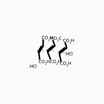 Cl.Cl.O=C(O)/C=C/C(=O)O.O=C(O)/C=C/C(=O)O.O=C(O)/C=C/C(=O)O